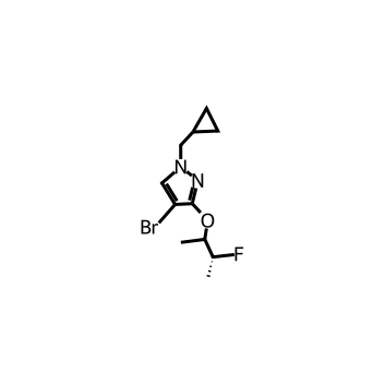 CC(Oc1nn(CC2CC2)cc1Br)[C@@H](C)F